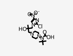 CC(O)(CN1CCN(N(C(=O)O)C(C)(C)C)CC1)Cn1cc([N+](=O)[O-])nc1Cl